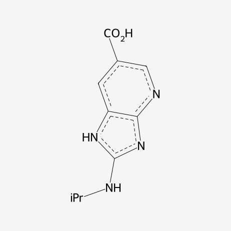 CC(C)Nc1nc2ncc(C(=O)O)cc2[nH]1